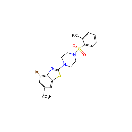 O=C(O)c1cc(Br)c2nc(N3CCN(S(=O)(=O)c4ccccc4C(F)(F)F)CC3)sc2c1